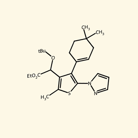 CCOC(=O)C(OC(C)(C)C)c1c(C)sc(-n2cccn2)c1C1=CCC(C)(C)CC1